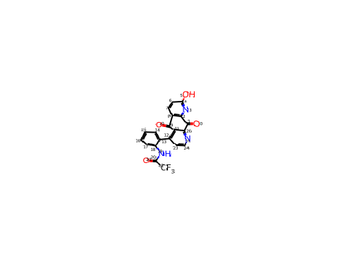 O=C1c2nc(O)ccc2C(=O)c2c(-c3ccccc3NC(=O)C(F)(F)F)ccnc21